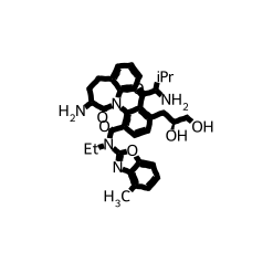 CCN(C(=O)c1ccc(C[C@H](O)CO)c(C(=O)C(N)C(C)C)c1N1C(=O)C(N)CCc2ccccc21)c1nc2c(C)cccc2o1